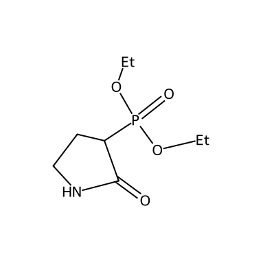 CCOP(=O)(OCC)C1CCNC1=O